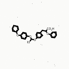 CCC(Oc1ccc(CC(Oc2ccccc2)C(=O)O)cc1)Oc1ccc(Oc2ccccc2)cc1